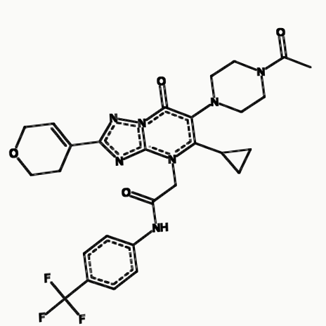 CC(=O)N1CCN(c2c(C3CC3)n(CC(=O)Nc3ccc(C(F)(F)F)cc3)c3nc(C4=CCOCC4)nn3c2=O)CC1